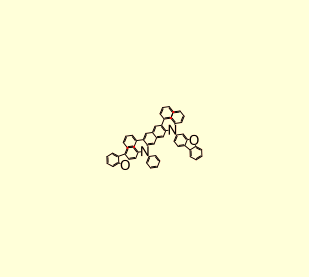 c1ccc(-c2cc3cc(-c4ccccc4)c(N(c4ccccc4)c4ccc5c(c4)oc4ccccc45)cc3cc2N(c2ccccc2)c2ccc3c(c2)oc2ccccc23)cc1